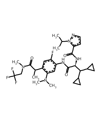 CC(C(=O)N(C)CC(F)(F)F)c1cc(F)c(NC(=O)[C@@H](NC(=O)c2ccnn2C(C)C)C(C2CC2)C2CC2)cc1N(C)C